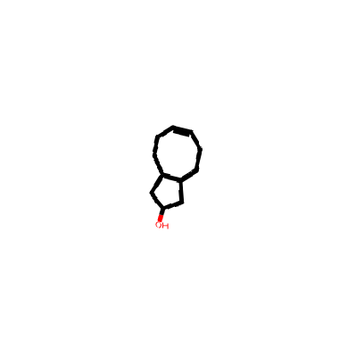 OC1CC2CCC=CCCC2C1